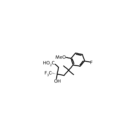 COc1ccc(F)cc1C(C)(C)C[C@@](O)(CC(=O)O)C(F)(F)F